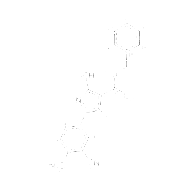 Cc1nc(-c2ccc(OCC(C)C)c(C#N)c2)sc1C(=O)OCc1ccccc1